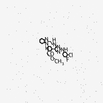 CCOC(=O)/C=C\c1cccc(-c2cnc(Nc3ccc(F)c(Cl)c3)nc2NCCc2nc3ccccc3[nH]2)c1